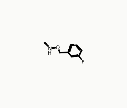 CNOCc1cccc(F)c1